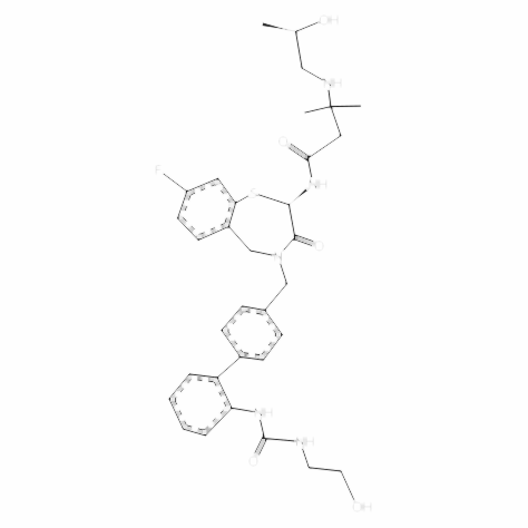 C[C@@H](O)CNC(C)(C)CC(=O)N[C@@H]1Sc2cc(F)ccc2CN(Cc2ccc(-c3ccccc3NC(=O)NCCO)cc2)C1=O